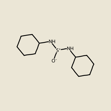 [O-][S+](NC1CCCCC1)NC1CCCCC1